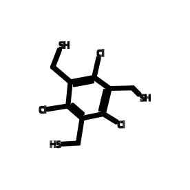 SCc1c(Cl)c(CS)c(Cl)c(CS)c1Cl